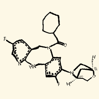 O=C(C1CCCCC1)N1Cc2cc(F)cnc2Nc2cc(F)c(N3C[C@@H]4C[C@H]3CO4)cc21